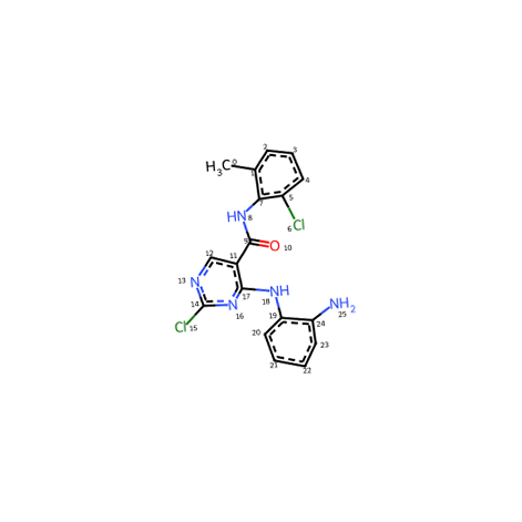 Cc1cccc(Cl)c1NC(=O)c1cnc(Cl)nc1Nc1ccccc1N